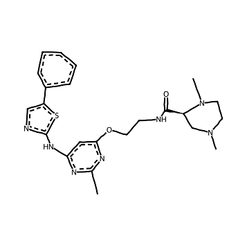 Cc1nc(Nc2ncc(-c3ccccc3)s2)cc(OCCNC(=O)[C@@H]2CN(C)CCN2C)n1